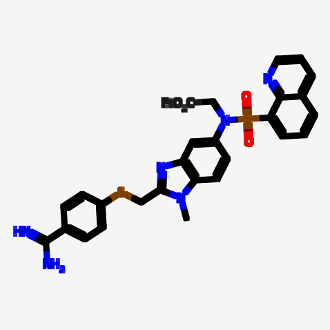 CCOC(=O)CN(c1ccc2c(c1)nc(CSc1ccc(C(=N)N)cc1)n2C)S(=O)(=O)c1cccc2cccnc12